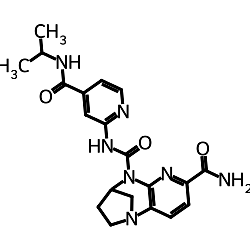 CC(C)NC(=O)c1ccnc(NC(=O)N2c3nc(C(N)=O)ccc3N3CCC2C3)c1